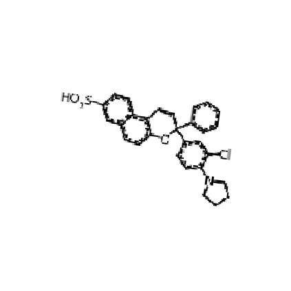 O=S(=O)(O)c1ccc2c3c(ccc2c1)OC(c1ccccc1)(c1ccc(N2CCCC2)c(Cl)c1)C=C3